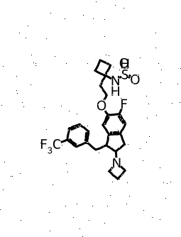 O=[SH](=O)NC1(CCOc2cc3c(cc2F)CC(N2CCC2)C3Cc2cccc(C(F)(F)F)c2)CCC1